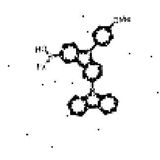 COc1ccc(-n2c3ccc(B(O)O)cc3c3cc(-n4c5ccccc5c5ccccc54)ccc32)cc1